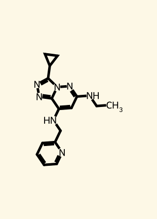 CCNc1cc(NCc2ccccn2)c2nnc(C3CC3)n2n1